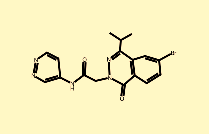 CC(C)c1nn(CC(=O)Nc2ccnnc2)c(=O)c2ccc(Br)cc12